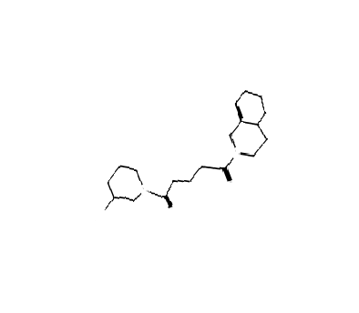 CC1CCCN(C(=O)CCCC(=O)N2CCC3CCCC=C3C2)C1